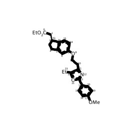 CCOC(=O)C[C@@H]1CCc2cc(OCCc3nc(-c4ccc(OC)cc4)oc3CC)ccc21